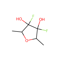 CC1OC(C)C(O)(F)C1(O)F